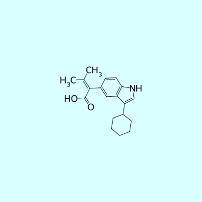 CC(C)=C(C(=O)O)c1ccc2[nH]cc(C3CCCCC3)c2c1